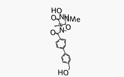 CNC(=O)[C@@](C)(C(=O)NO)N(C)C(=O)c1ccc(-c2ccc(CO)cc2)cc1